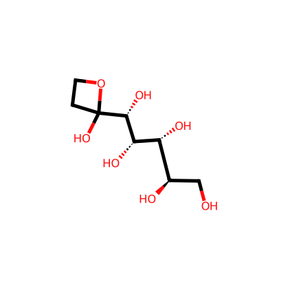 OC[C@@H](O)[C@@H](O)[C@H](O)[C@@H](O)C1(O)CCO1